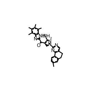 Cc1ccc2c(c1)CCc1cnc(-n3cc(C(=O)c4nc5c(C)c(C)c(C)c(C)c5[nH]4)c(N)n3)nc1-2